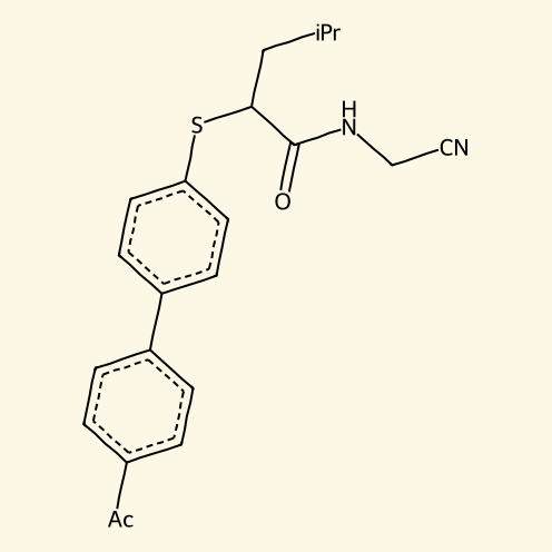 CC(=O)c1ccc(-c2ccc(SC(CC(C)C)C(=O)NCC#N)cc2)cc1